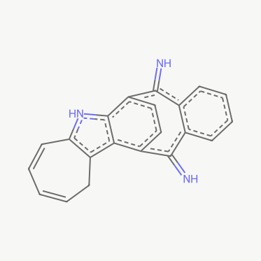 N=c1c2ccccc2c(=N)c2ccc1c1[nH]c3c(c21)CC=CC=C3